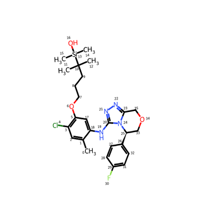 Cc1cc(Cl)c(OCCCC(C)(C)[Si](C)(C)O)cc1Nc1nnc2n1[C@H](c1ccc(F)cc1)COC2